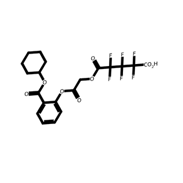 O=C(COC(=O)C(F)(F)C(F)(F)C(F)(F)C(=O)O)Oc1ccccc1C(=O)OC1CCCCC1